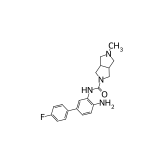 CN1CC2CN(C(=O)Nc3cc(-c4ccc(F)cc4)ccc3N)CC2C1